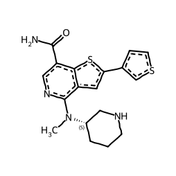 CN(c1ncc(C(N)=O)c2sc(-c3ccsc3)cc12)[C@H]1CCCNC1